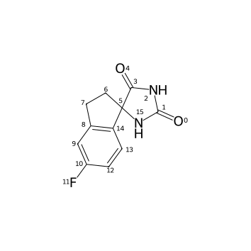 O=C1NC(=O)C2(CCc3cc(F)ccc32)N1